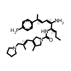 CC/C=C(NC(=O)N1CC(C)=C(/C=C(\C)CN2CCCC2)C1)/C(N)=C\C=C(/C)c1ccc(P)cc1